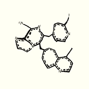 Cc1ccnc2ccc(-c3c(-c4ccnc(F)c4)nc(N)c4nccn34)cc12